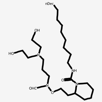 CCCCCCCCCCCCCCCCCCNC(=O)N1CCCCC1CCON(C=O)CCCN(CCO)CCO